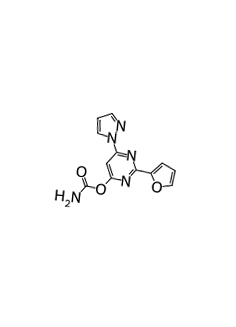 NC(=O)Oc1cc(-n2cccn2)nc(-c2ccco2)n1